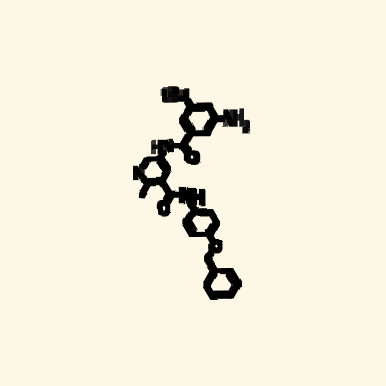 Cc1ncc(NC(=O)c2cc(N)cc(C(C)(C)C)c2)cc1C(=O)Nc1ccc(OCc2ccccc2)cc1